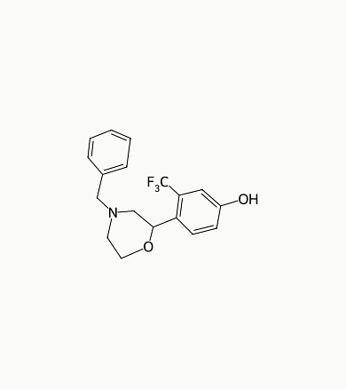 Oc1ccc(C2CN(Cc3ccccc3)CCO2)c(C(F)(F)F)c1